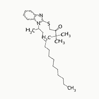 CCCCCCCCCCCCCC(C)n1c(SCC(=O)C(C)(C)C)nc2ccccc21